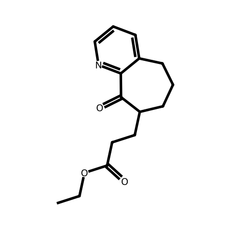 CCOC(=O)CCC1CCCc2cccnc2C1=O